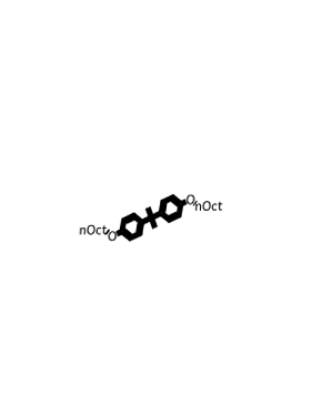 CCCCCCCCOc1ccc(C(C)(C)c2ccc(OCCCCCCCC)cc2)cc1